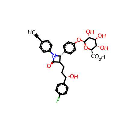 C#Cc1ccc(N2C(=O)C(CC[C@H](O)c3ccc(F)cc3)[C@H]2c2ccc(O[C@@H]3O[C@H](C(=O)O)[C@@H](O)[C@H](O)[C@H]3O)cc2)cc1